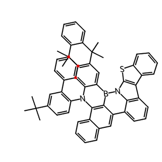 CC(C)(C)c1ccc(N2c3cc4c(cc3B3c5c(cc6ccccc6c52)-c2cccc5c6c7ccccc7sc6n3c25)C(C)(C)c2ccccc2C4(C)C)c(-c2ccccc2)c1